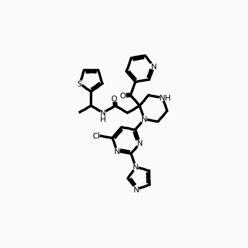 CC(NC(=O)CC1(C(=O)c2cccnc2)CNCCN1c1cc(Cl)nc(-n2ccnc2)n1)c1cccs1